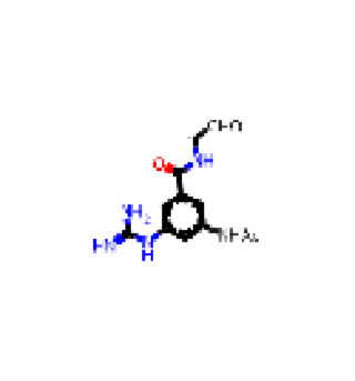 CC(=O)Nc1cc(NC(=N)N)cc(C(=O)N[CH]C=O)c1